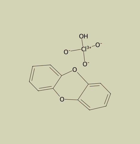 [O-][Cl+3]([O-])([O-])O.c1ccc2c(c1)Oc1ccccc1O2